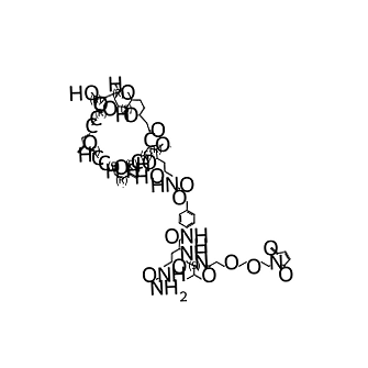 C=C1CC2CC[C@]34C[C@@H](O)C(O3)[C@H]3CC(O4)[C@H]4OC(CCC4O3)CC(=O)CC3[C@@H](OC)C(CC(O)CNC(=O)OCc4ccc(NC(=O)C(CCCNC(N)=O)NC(=O)[C@@H](NC(=O)CCOCCOCCN5C(=O)C=CC5=O)C(C)C)cc4)O[C@H]3C[C@H]3O[C@@H](CC[C@@H]1O2)C[C@@H](C)C3=C